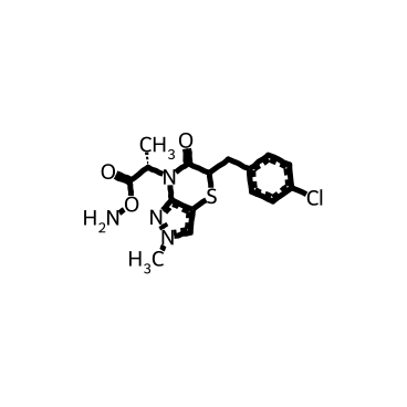 C[C@@H](C(=O)ON)N1C(=O)C(Cc2ccc(Cl)cc2)Sc2cn(C)nc21